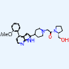 COc1ccccc1-c1ccnc2[nH]c(C3CCN(CC(=O)N4CCC[C@H]4CO)CC3)cc12